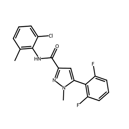 Cc1cccc(Cl)c1NC(=O)c1cc(-c2c(F)cccc2F)n(C)n1